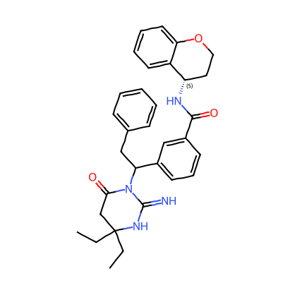 CCC1(CC)CC(=O)N(C(Cc2ccccc2)c2cccc(C(=O)N[C@H]3CCOc4ccccc43)c2)C(=N)N1